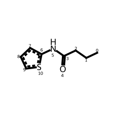 CCCC(=O)Nc1cccs1